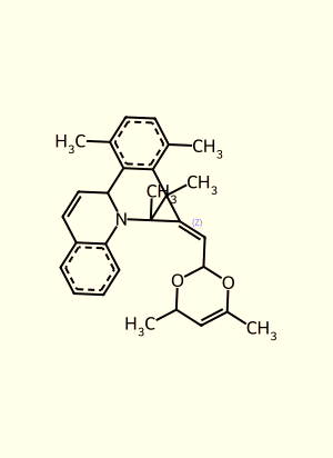 CC1=CC(C)OC(/C=C2/C3(C)c4c(C)ccc(C)c4C4C=Cc5ccccc5N4C23C)O1